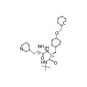 CC(C)(C)NC(=O)[C@H](Cc1ccc(OCc2ccccc2)cc1)NC(=O)[C@@H](N)Cc1cccnc1